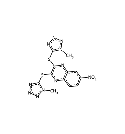 Cn1nnnc1Sc1nc2ccc([N+](=O)[O-])cc2nc1Sc1nnnn1C